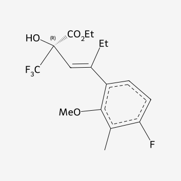 CCOC(=O)[C@](O)(C=C(CC)c1ccc(F)c(C)c1OC)C(F)(F)F